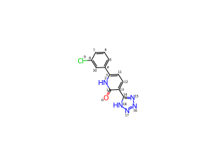 O=c1[nH]c(-c2cccc(Cl)c2)ccc1-c1nnn[nH]1